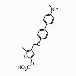 Cc1oc(OC(=O)O)cc1COc1ccc(-c2ccc(N(C)C)cc2)cc1